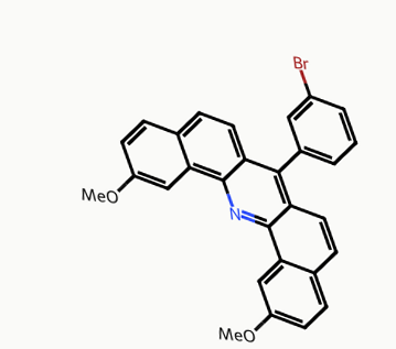 COc1ccc2ccc3c(-c4cccc(Br)c4)c4ccc5ccc(OC)cc5c4nc3c2c1